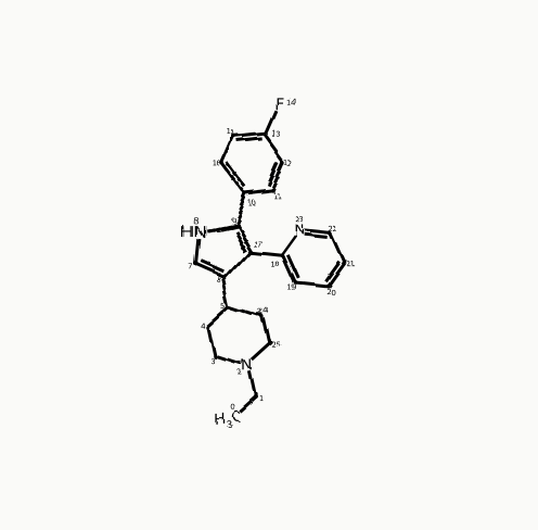 CCN1CCC(c2c[nH]c(-c3ccc(F)cc3)c2-c2ccccn2)CC1